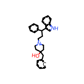 OC1(Cc2ccccc2)CCN(CCC(c2ccccc2)c2c[nH]c3ccccc23)CC1